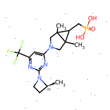 C[C@H]1CCN1c1nc(N2CC3(C)C(CP(=O)(O)O)C3(C)C2)cc(C(F)(F)F)n1